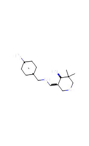 CC1(C)CNC/C(=C/NCC23CCC(N)(CC2)CC3)C1=N